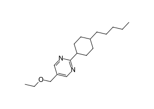 CCCCCC1CCC(c2ncc(COCC)cn2)CC1